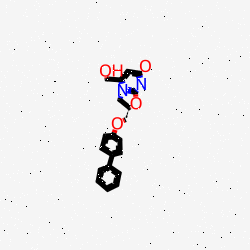 O=c1cc(CO)n2c(n1)O[C@H](COc1ccc(-c3ccccc3)cc1)C2